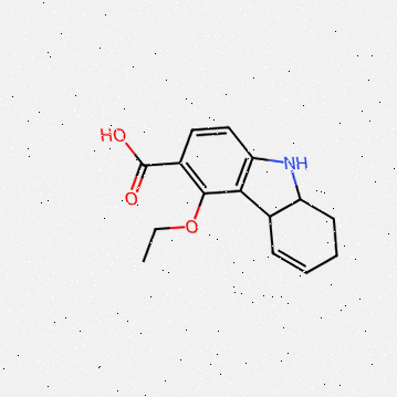 CCOc1c(C(=O)O)ccc2c1C1C=CCCC1N2